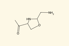 CC(=O)C1COC(CN)N1